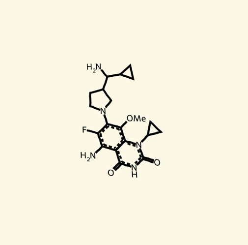 COc1c(N2CCC(C(N)C3CC3)C2)c(F)c(N)c2c(=O)[nH]c(=O)n(C3CC3)c12